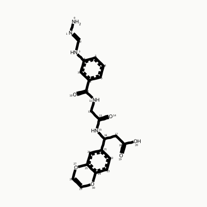 NN=CNc1cccc(C(=O)NCC(=O)NC(CC(=O)O)c2ccc3c(c2)OC=CO3)c1